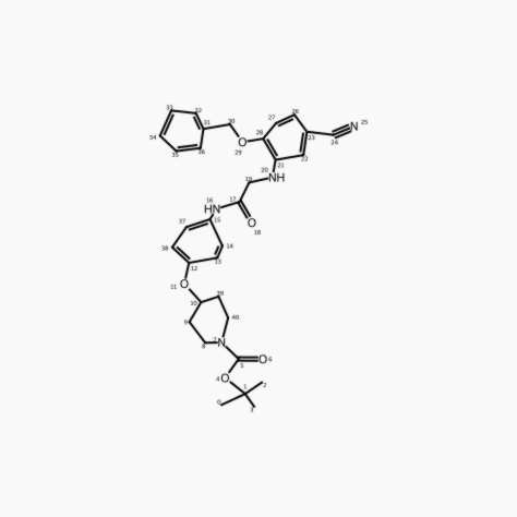 CC(C)(C)OC(=O)N1CCC(Oc2ccc(NC(=O)CNc3cc(C#N)ccc3OCc3ccccc3)cc2)CC1